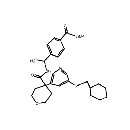 COC(=O)c1ccc(C(C)NC(=O)C2(c3cncc(OCC4CCCCC4)c3)CCOCC2)cc1